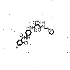 O=C(Nc1ccc(NC(=O)c2ocnc2C(=O)NCCN2CCCC2)cc1)c1ccc(F)cc1Cl